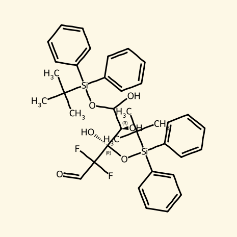 CC(C)(C)[Si](OC(O)[C@@H](O)[C@@](O)(O[Si](c1ccccc1)(c1ccccc1)C(C)(C)C)C(F)(F)C=O)(c1ccccc1)c1ccccc1